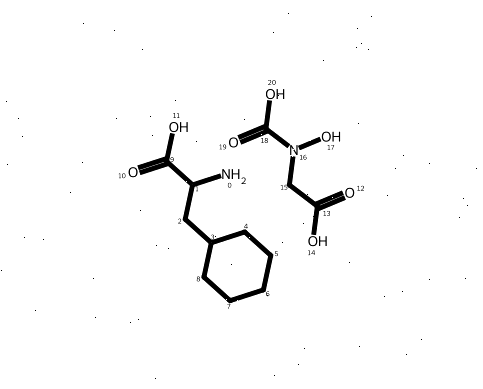 NC(CC1CCCCC1)C(=O)O.O=C(O)CN(O)C(=O)O